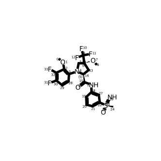 COc1c(N2C[C@@](OC)(C(F)(F)F)C[C@H]2C(=O)Nc2cccc([S@](C)(=N)=O)c2)ccc(F)c1F